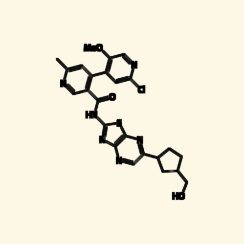 COc1cnc(Cl)cc1-c1cc(C)ncc1C(=O)Nc1nc2ncc(C3CCC(CO)C3)nc2s1